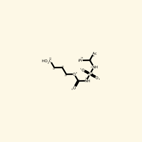 CC(=O)C(NS(=O)(=O)NC(=O)OCCCC(=O)O)C(C)C